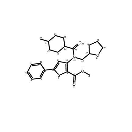 COC(=O)c1sc(-c2ccccc2)cc1N(CC1CCCO1)C(=O)C1CCC(C)CC1